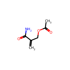 C=C(COC(C)=O)C(N)=O